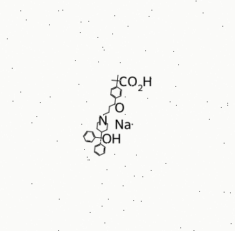 CC(C)(C(=O)O)c1ccc(C(=O)CCCN2CCC(C(O)(c3ccccc3)c3ccccc3)CC2)cc1.[Na]